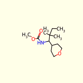 CCC(C)(C)C(NC(=O)OC)C1CCOCC1